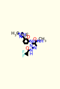 CNC(=O)c1cnc(NC(=O)C2CC2(F)F)nc1Nc1cccc(-c2ncn(C)n2)c1OC